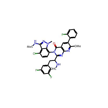 COc1nc2nc(C(Cc3cc(F)cc(F)c3)NC=O)n(-c3ccc(Cl)c4c(NSC)nn(C)c34)c(=O)c2cc1-c1ccccc1F